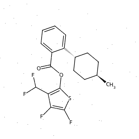 C[C@H]1CC[C@H](c2ccccc2C(=O)Oc2sc(F)c(F)c2C(F)F)CC1